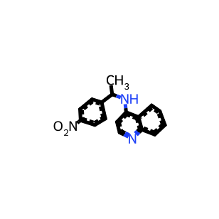 CC(Nc1ccnc2ccccc12)c1ccc([N+](=O)[O-])cc1